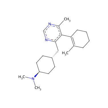 CC1=C(c2c(C)ncnc2C[C@H]2CC[C@H](N(C)C)CC2)CCCC1